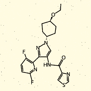 CCO[C@H]1CC[C@H](n2cc(NC(=O)c3cscn3)c(-c3nc(F)ccc3F)n2)CC1